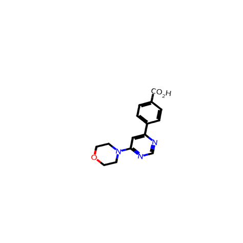 O=C(O)c1ccc(-c2cc(N3CCOCC3)ncn2)cc1